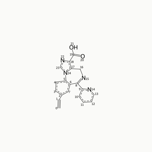 C#Cc1ccc2c(c1)C(c1ccccn1)=NCc1c(C(=O)O)ncn1-2